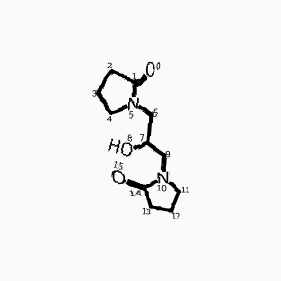 O=C1CCCN1CC(O)CN1CCCC1=O